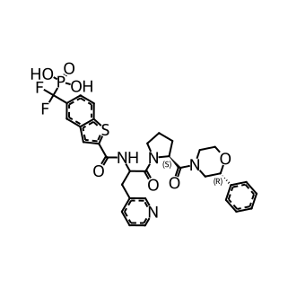 O=C(NC(Cc1cccnc1)C(=O)N1CCC[C@H]1C(=O)N1CCO[C@H](c2ccccc2)C1)c1cc2cc(C(F)(F)P(=O)(O)O)ccc2s1